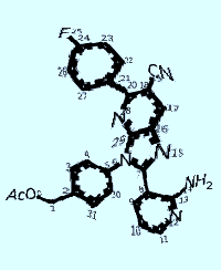 CC(=O)OCc1ccc(-n2c(-c3cccnc3N)nc3cc(C#N)c(-c4ccc(F)cc4)nc32)cc1